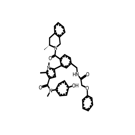 Cc1c(C(=O)N(C)c2ccc(O)cc2)cc(-c2cc(CNC(=O)COc3ccccc3)ccc2C(=O)N2Cc3ccccc3C[C@H]2C)n1C